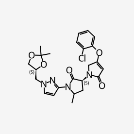 CC1C[C@H](N2CC(Oc3ccccc3Cl)=CC2=O)C(=O)N1c1ccn(C[C@H]2COC(C)(C)O2)n1